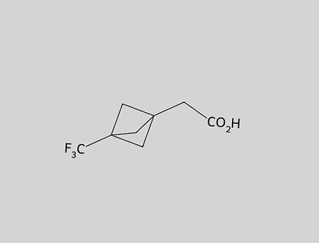 O=C(O)CC12CC(C(F)(F)F)(C1)C2